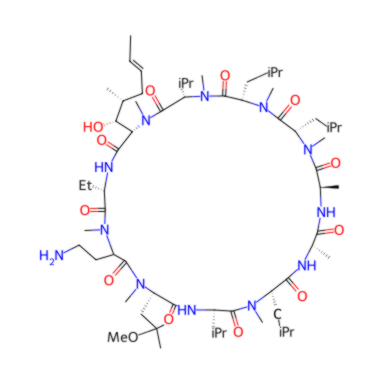 C/C=C/C[C@@H](C)[C@@H](O)[C@H]1C(=O)N[C@@H](CC)C(=O)N(C)C(CCN)C(=O)N(C)[C@@H](CC(C)(C)OC)C(=O)N[C@@H](C(C)C)C(=O)N(C)[C@@H](CC(C)C)C(=O)N[C@@H](C)C(=O)N[C@H](C)C(=O)N(C)[C@@H](CC(C)C)C(=O)N(C)[C@@H](CC(C)C)C(=O)N(C)[C@@H](C(C)C)C(=O)N1C